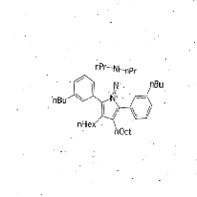 CCCCCCCCC1=C(c2cccc(CCCC)c2)[N+](=[N-])C(c2cccc(CCCC)c2)=C1CCCCCC.CC[CH2][Ni][CH2]CC